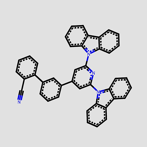 N#Cc1ccccc1-c1cccc(-c2cc(-n3c4ccccc4c4ccccc43)nc(-n3c4ccccc4c4ccccc43)c2)c1